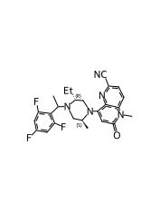 CC[C@@H]1CN(c2cc(=O)n(C)c3ccc(C#N)nc23)[C@@H](C)CN1C(C)c1c(F)cc(F)cc1F